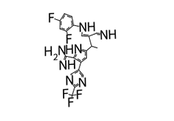 CC(/C(C=N)=C/Nc1ccc(F)cc1F)c1cc(-c2cnc(C(F)(F)F)nc2)c(C(=N)N)[nH]1